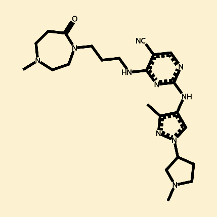 Cc1nn(C2CCN(C)C2)cc1Nc1ncc(C#N)c(NCCCN2CCN(C)CCC2=O)n1